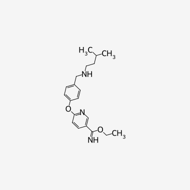 CCOC(=N)c1ccc(Oc2ccc(CNCCC(C)C)cc2)nc1